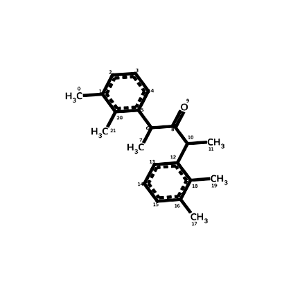 Cc1cccc(C(C)C(=O)C(C)c2cccc(C)c2C)c1C